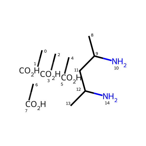 CC(=O)O.CC(=O)O.CC(=O)O.CC(=O)O.CC(N)CC(C)N